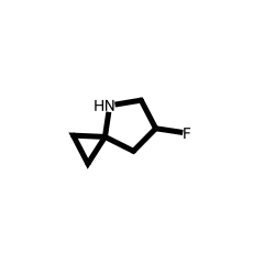 FC1CNC2(CC2)C1